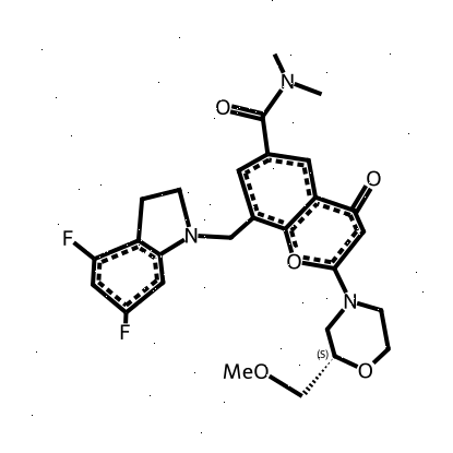 COC[C@@H]1CN(c2cc(=O)c3cc(C(=O)N(C)C)cc(CN4CCc5c(F)cc(F)cc54)c3o2)CCO1